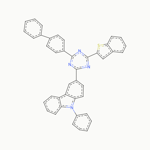 c1ccc(-c2ccc(-c3nc(-c4ccc5c(c4)c4ccccc4n5-c4ccccc4)nc(-c4cc5ccccc5s4)n3)cc2)cc1